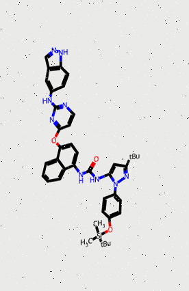 CC(C)(C)c1cc(NC(=O)Nc2ccc(Oc3ccnc(Nc4ccc5[nH]ncc5c4)n3)c3ccccc23)n(-c2ccc(O[Si](C)(C)C(C)(C)C)cc2)n1